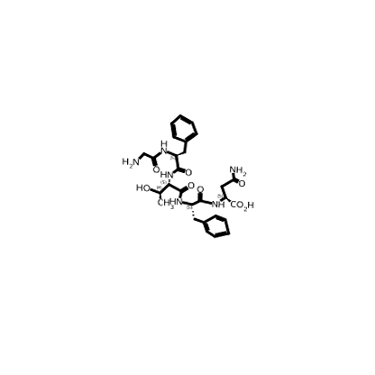 C[C@@H](O)[C@H](NC(=O)[C@H](Cc1ccccc1)NC(=O)CN)C(=O)N[C@@H](Cc1ccccc1)C(=O)N[C@@H](CC(N)=O)C(=O)O